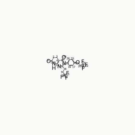 O=C1CCc2c(nc(CCC(F)(F)F)n(-c3ccc(OCC(F)(F)F)cc3)c2=O)N1